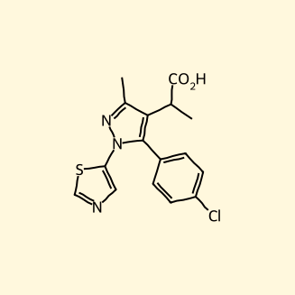 Cc1nn(-c2cncs2)c(-c2ccc(Cl)cc2)c1C(C)C(=O)O